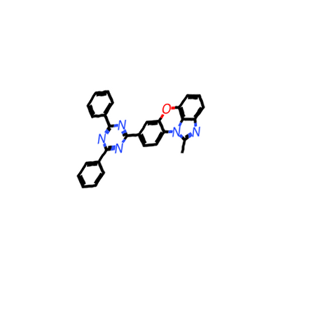 Cc1nc2cccc3c2n1-c1ccc(-c2nc(-c4ccccc4)nc(-c4ccccc4)n2)cc1O3